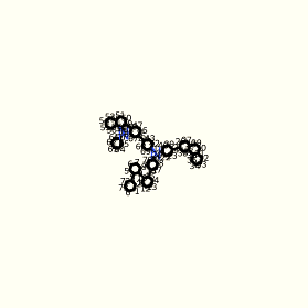 c1ccc(-c2ccccc2-c2ccccc2-c2ccc(N(c3ccc(-c4ccc5ccc6ccccc6c5c4)cc3)c3ccc(-c4ccc5c6ccc7ccccc7c6n(-c6ccccc6)c5c4)cc3)cc2)cc1